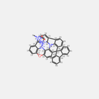 Cn1c2[n+](c3ccccc31)[N+]13c4c(cccc4-2)Oc2ccc4c(c21)-n1c2c(cccc2c2ccn[n+]3c21)C41c2ccccc2-c2ccccc21